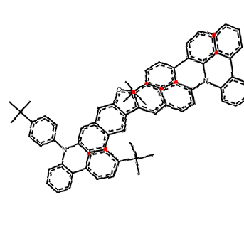 CC(C)(C)c1ccc(-c2ccccc2N(c2ccc(C(C)(C)C)cc2)c2ccc3cc4c(cc3c2)oc2cc3cc(N(c5ccccc5-c5ccccc5)c5ccccc5-c5ccc(C(C)(C)C)cc5)ccc3cc24)cc1